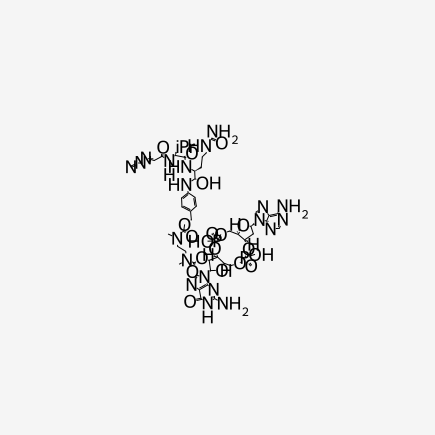 CC(C)[C@H](NC(=O)CN=[N+]=[N-])C(=O)N[C@@H](CCCNC(N)=O)C(O)Nc1ccc(COC(=O)N(C)CCN(C)C(=O)O[C@@H]2[C@@H]3OP(=O)(O)OC[C@H]4O[C@@H](n5cnc6c(N)ncnc65)C[C@@H]4OP(=O)(O)OC[C@H]3O[C@H]2n2cnc3c(=O)[nH]c(N)nc32)cc1